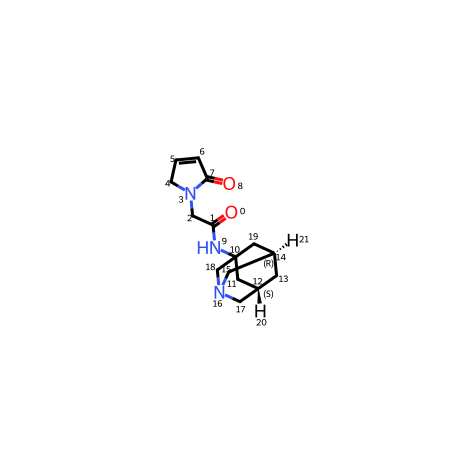 O=C(CN1CC=CC1=O)NC12C[C@@H]3C[C@@H](CN(C3)C1)C2